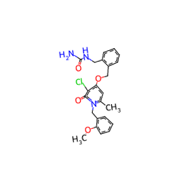 COc1ccccc1Cn1c(C)cc(OCc2ccccc2CNC(N)=O)c(Cl)c1=O